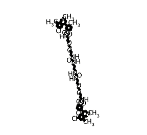 Cc1ccc(S(=O)(=O)NCCOCCOCCNC(=O)NCCCCNC(=O)NCCOCCOCCNS(=O)(=O)c2ccc(C)c(C3CN(C)Cc4c(C)cc(Cl)cc43)c2)cc1C1CN(C)Cc2c(C)cc(Cl)cc21